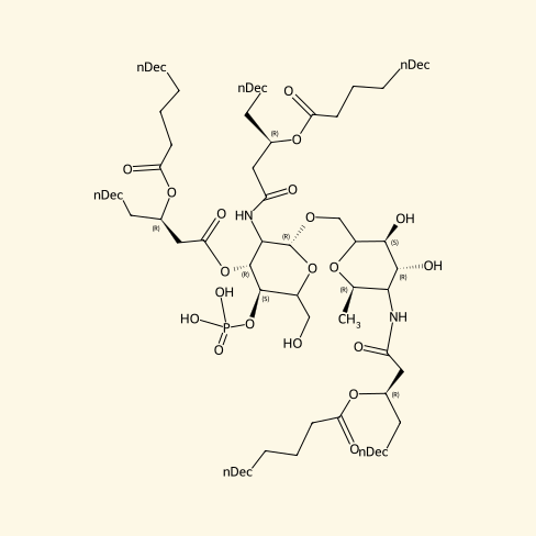 CCCCCCCCCCCCCC(=O)O[C@H](CCCCCCCCCCC)CC(=O)NC1[C@H](OCC2O[C@H](C)C(NC(=O)C[C@@H](CCCCCCCCCCC)OC(=O)CCCCCCCCCCCCC)[C@@H](O)[C@@H]2O)OC(CO)[C@@H](OP(=O)(O)O)[C@@H]1OC(=O)C[C@@H](CCCCCCCCCCC)OC(=O)CCCCCCCCCCCCC